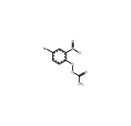 CC(=O)OOc1ccc(Br)cc1[N+](=O)[O-]